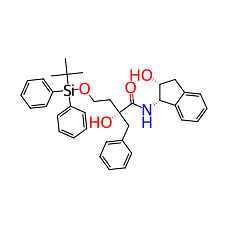 CC(C)(C)[Si](OCC[C@](O)(Cc1ccccc1)C(=O)N[C@H]1c2ccccc2C[C@H]1O)(c1ccccc1)c1ccccc1